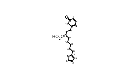 O=C1C=CC=C(CCN(CCCCCc2cccs2)C(=O)O)C1